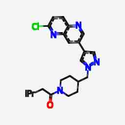 CC(C)CC(=O)N1CCC(Cn2cc(-c3cnc4ccc(Cl)nc4c3)cn2)CC1